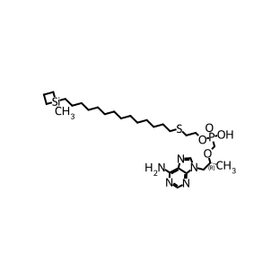 C[C@H](Cn1cnc2c(N)ncnc21)OCP(=O)(O)OCCSCCCCCCCCCCCCCC[Si]1(C)CCC1